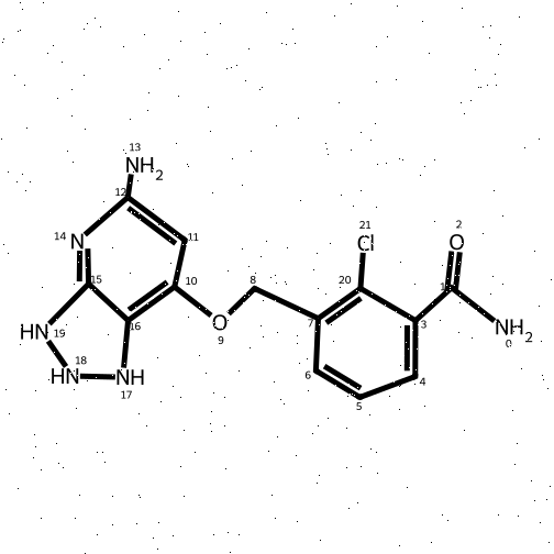 NC(=O)c1cccc(COc2cc(N)nc3c2NNN3)c1Cl